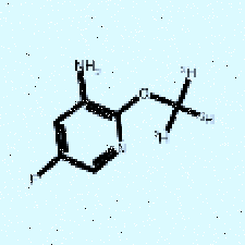 [2H]C([2H])([2H])Oc1ncc(F)cc1N